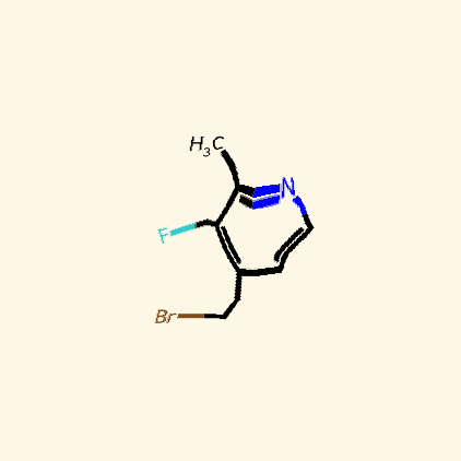 Cc1nccc(CBr)c1F